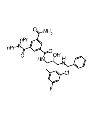 CCCN(CCC)C(=O)c1cc(C(N)=O)cc(C(=O)N[C@@H](Cc2cc(F)cc(Cl)c2)[C@H](O)CNCc2ccccc2)c1